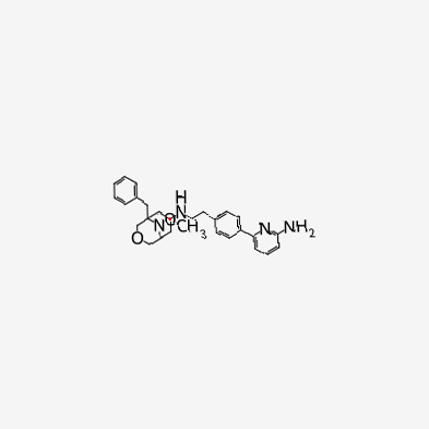 CON1C2COCC1(Cc1ccccc1)CC(NCCc1ccc(-c3cccc(N)n3)cc1)C2